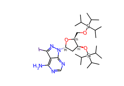 CC(C)[Si](OC[C@@H]1O[C@@H](n2nc(I)c3c(N)ncnc32)C[C@@H]1O[Si](C(C)C)(C(C)C)C(C)C)(C(C)C)C(C)C